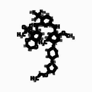 CCOC1CCN(C2CCN(c3cc(OC)c(Nc4ncc(C(F)(F)F)c(Nc5ccc6c(c5P(C)(C)=O)OCCO6)n4)cc3C)CC2)C1